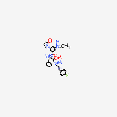 CCNc1cc(C(=O)N[C@@H](Cc2ccccc2)[C@H](O)CNC/C=C/c2ccc(F)cc2)cc(N2CCCC2=O)c1